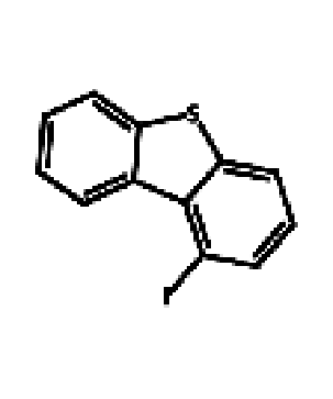 Ic1cccc2sc3ccccc3c12